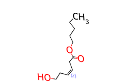 CCCCCOC(=O)C/C=C\CCO